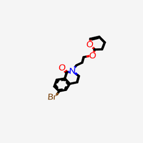 O=C1c2ccc(Br)cc2CCN1CCCOC1CCC=CO1